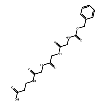 O=C(O)CCNC(=O)CNC(=O)CNC(=O)CNC(=O)OCc1ccccc1